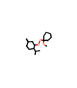 COC1(OOC2CC(C)CCC2C(C)C)CCCCC1